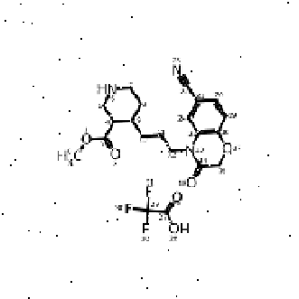 COC(=O)C1CNCCC1CCCN1C(=O)COc2ccc(C#N)cc21.O=C(O)C(F)(F)F